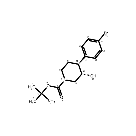 CC(C)(C)OC(=O)N1CC[C@@H](c2ccc(Br)cc2)[C@H](O)C1